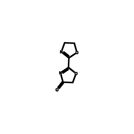 O=C1COC(C2=NCCO2)=N1